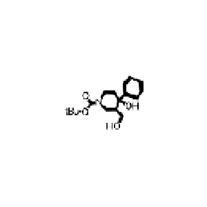 CC(C)(C)OC(=O)N1CCC(O)(c2ccccc2)C(CO)C1